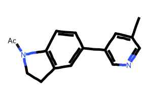 CC(=O)N1CCc2cc(-c3cncc(C)c3)ccc21